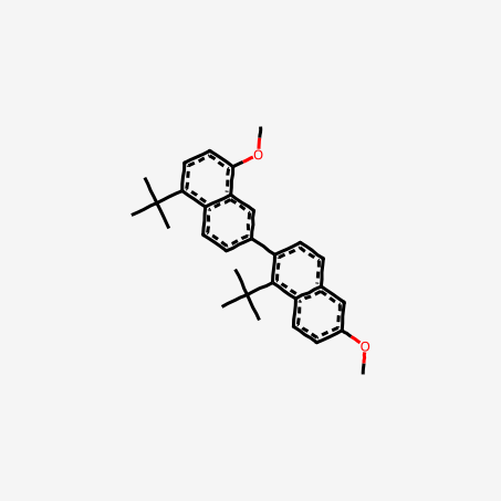 COc1ccc2c(C(C)(C)C)c(-c3ccc4c(C(C)(C)C)ccc(OC)c4c3)ccc2c1